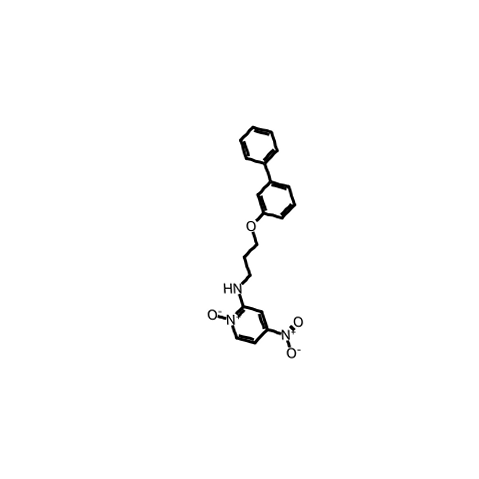 O=[N+]([O-])c1cc[n+]([O-])c(NCCCOc2cccc(-c3ccccc3)c2)c1